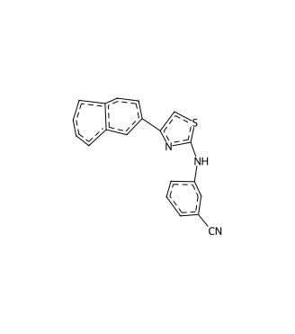 N#Cc1cccc(Nc2nc(-c3ccc4ccccc4c3)cs2)c1